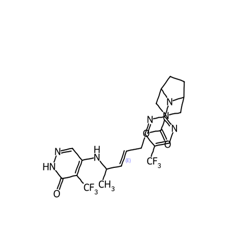 CC(/C=C/COC(=O)N1CC2CCC(C1)N2c1ncc(C(F)(F)F)cn1)Nc1cn[nH]c(=O)c1C(F)(F)F